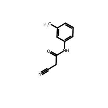 Cc1cccc(NC(=O)CC#N)c1